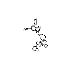 CC1(CN2C[C@@]3(CCC[C@H](Cn4cnc5c(Cl)cc(C#N)cc54)C3)OC2=O)CCCO1